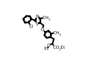 CCOC(=O)C(Cc1ccc(OCc2sc(-c3ccccc3Cl)nc2C)cc1C)OCC